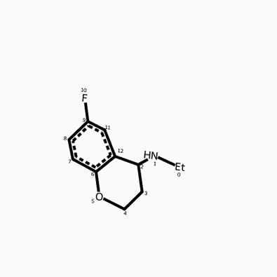 CCNC1CCOc2ccc(F)cc21